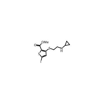 COC(=O)c1sc(I)cc1SCCNC1CC1